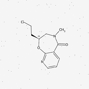 CN1C[C@H](CCCl)Oc2ncccc2C1=O